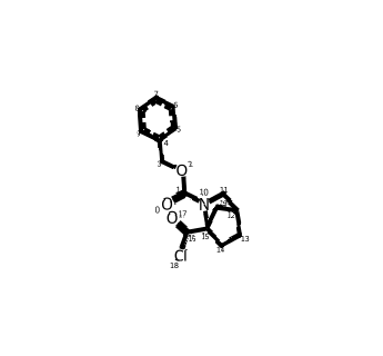 O=C(OCc1ccccc1)N1CC2CCC1(C(=O)Cl)C2